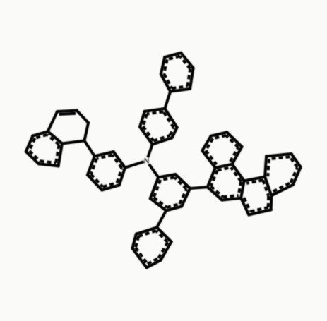 C1=Cc2ccccc2C(c2cccc(N(c3ccc(-c4ccccc4)cc3)c3cc(-c4ccccc4)cc(-c4cc5ccc6ccccc6c5c5ccccc45)c3)c2)C1